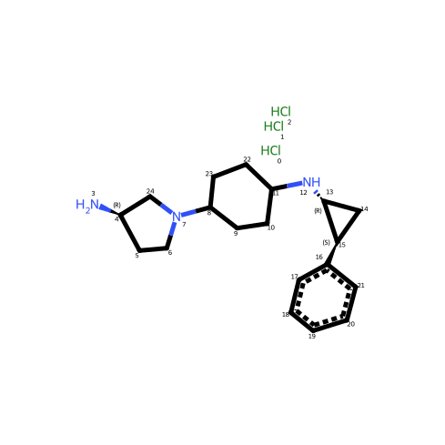 Cl.Cl.Cl.N[C@@H]1CCN(C2CCC(N[C@@H]3C[C@H]3c3ccccc3)CC2)C1